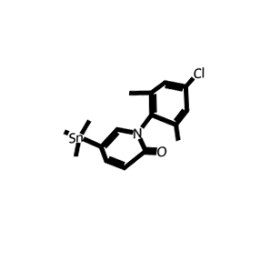 Cc1cc(Cl)cc(C)c1-n1c[c]([Sn]([CH3])([CH3])[CH3])ccc1=O